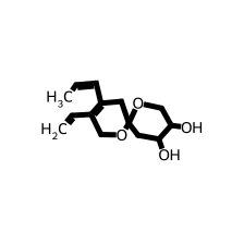 C=CC1=C(/C=C\C)CC2(CC(O)C(O)CO2)OC1